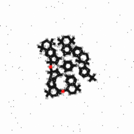 CC(C)(C)c1ccc2c(c1)C1(C)CCc3ccccc3C1(C)N2c1cc2c3c(c1)N1C4=C(B3C3=C(c5cc6c(cc5C3(C)C)C(C)(C)CCC6(C)C)N2c2ccc3c(c2)C(C)(C)CCC3(C)C)C(C)(C)c2cc3c(cc24)C(C)(CCC3(C)C)CC2(C)CCC(C)(C)c3ccc1cc32